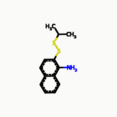 CC(C)SSc1ccc2ccccc2c1N